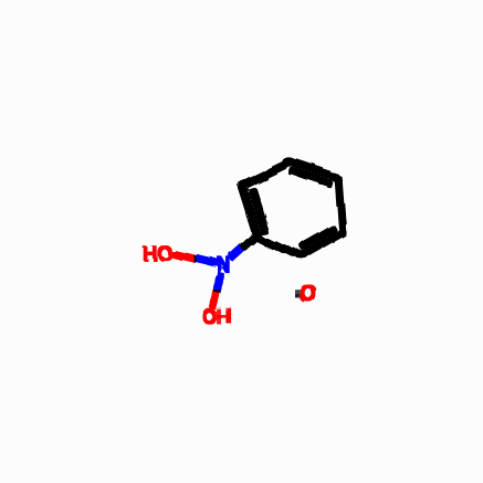 ON(O)c1ccccc1.[O]